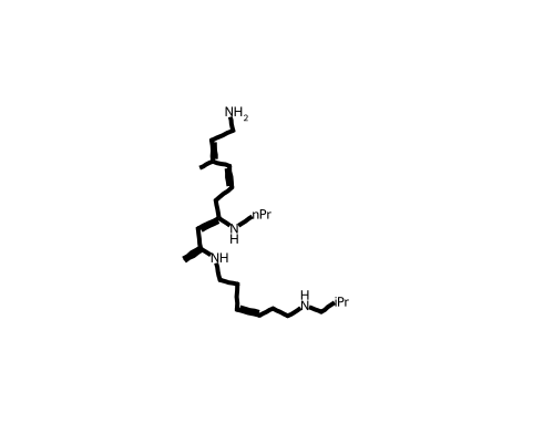 C=C(/C=C(/C/C=C\C(C)=C/CN)NCCC)NCC/C=C\CCNCC(C)C